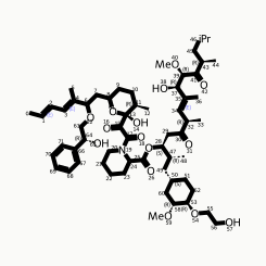 C/C=C/C=C(\C)C(CC1CC[C@@H](C)[C@](O)(C(=O)C(=O)N2CCCCC2C(=O)O[C@@H](CC(=O)[C@H](C)/C=C(\C)[C@@H](O)[C@@H](OC)C(=O)[C@H](C)CC(C)C)[C@H](C)C[C@@H]2CC[C@@H](OCCO)[C@H](OC)C2)O1)OC[C@H](O)c1ccccc1